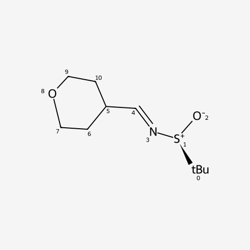 CC(C)(C)[S@+]([O-])N=CC1CCOCC1